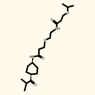 CC(C)OCCC(=O)NCCOCCC(=O)N[C@H]1CC[C@@H](C(=O)C(C)C)CC1